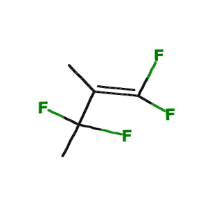 CC(=C(F)F)C(C)(F)F